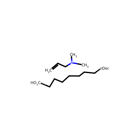 C=CCN(C)C.CCCCCCCCCCCCCCCCCC(=O)O